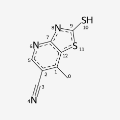 Cc1c(C#N)cnc2nc(S)sc12